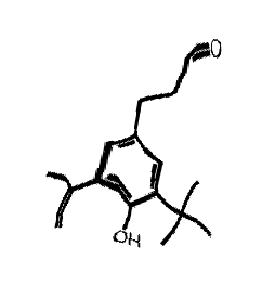 C=C(C)c1cc(CCC=O)cc(C(C)(C)C)c1O